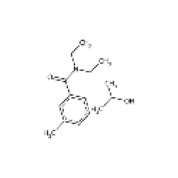 CC(C)O.CCN(CC)C(=O)c1cccc(C)c1